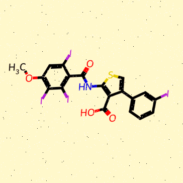 COc1cc(I)c(C(=O)Nc2scc(-c3cccc(I)c3)c2C(=O)O)c(I)c1I